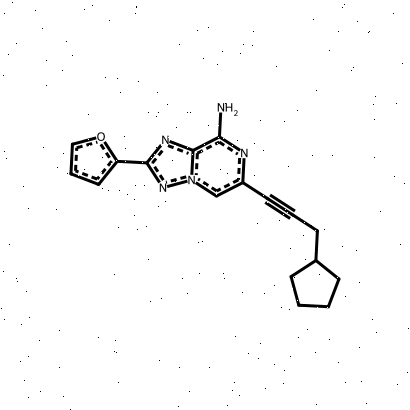 Nc1nc(C#CCC2CCCC2)cn2nc(-c3ccco3)nc12